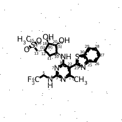 Cc1nc(NCC(F)(F)F)nc(N[C@@H]2C[C@H](CS(C)(=O)=O)[C@@H](O)[C@H]2O)c1-c1nc2ccccc2s1